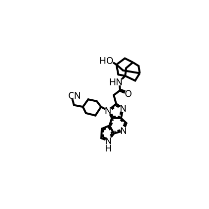 N#CCC1CCC(n2c(CC(=O)NC34CC5CC(CC(O)(C5)C3)C4)nc3cnc4[nH]ccc4c32)CC1